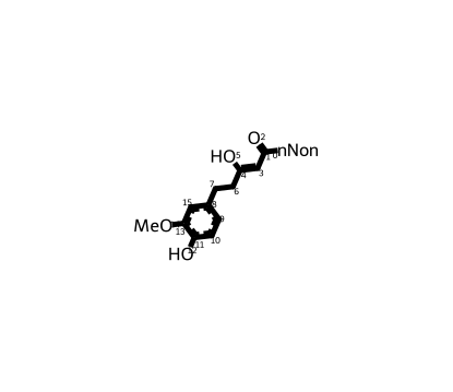 CCCCCCCCCC(=O)/C=C(\O)CCc1ccc(O)c(OC)c1